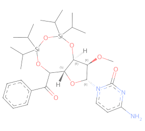 CO[C@@H]1[C@@H]2O[Si](C(C)C)(C(C)C)O[Si](C(C)C)(C(C)C)OC(C(=O)c3ccccc3)[C@H]2O[C@H]1n1ccc(N)nc1=O